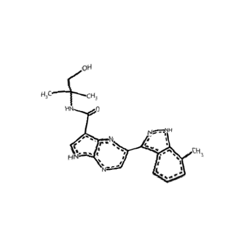 Cc1cccc2c(-c3cnc4[nH]cc(C(=O)NC(C)(C)CO)c4n3)n[nH]c12